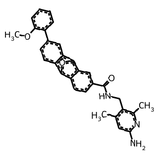 COc1ccccc1-c1ccc2c(c1)c1oc2c2ccc(C(=O)NCc3c(C)cc(N)nc3C)cc21